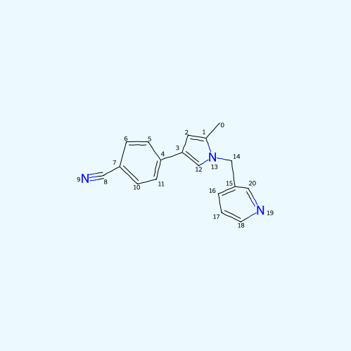 Cc1cc(-c2ccc(C#N)cc2)cn1Cc1cccnc1